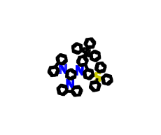 c1ccc([Si](c2ccccc2)(c2ccccc2)c2ccc3c(c2)c2cc(S(c4ccccc4)(c4ccccc4)c4ccccc4)ccc2n3-c2cc(-n3c4ccccc4c4ccccc43)cc(-n3c4ccccc4c4ccccc43)c2)cc1